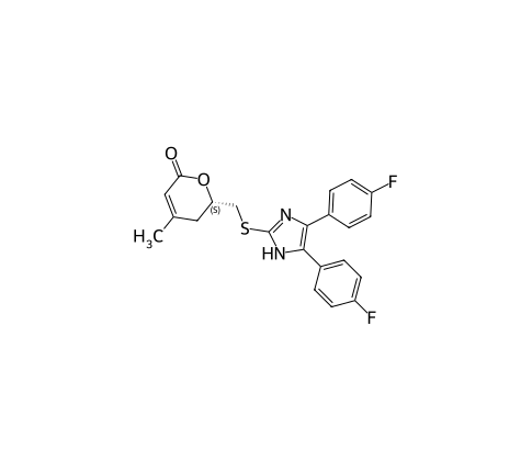 CC1=CC(=O)O[C@H](CSc2nc(-c3ccc(F)cc3)c(-c3ccc(F)cc3)[nH]2)C1